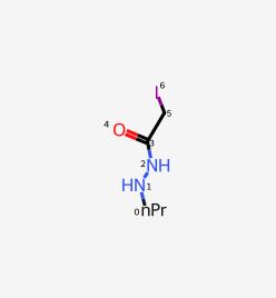 CCCNNC(=O)CI